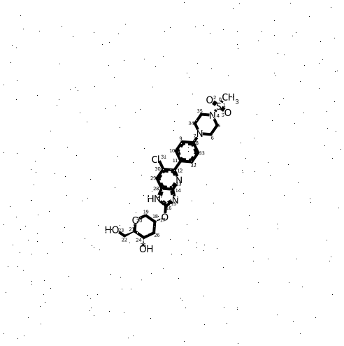 CS(=O)(=O)N1CCN(c2ccc(-c3nc4nc(O[C@H]5CO[C@H](CO)[C@@H](O)C5)[nH]c4cc3Cl)cc2)CC1